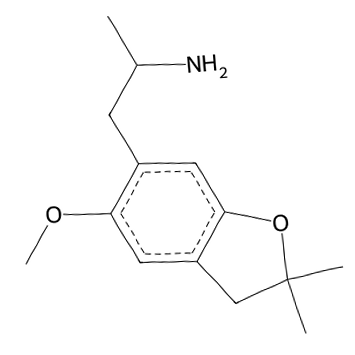 COc1cc2c(cc1CC(C)N)OC(C)(C)C2